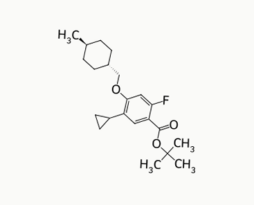 CC(C)(C)OC(=O)c1cc(C2CC2)c(OC[C@H]2CC[C@H](C)CC2)cc1F